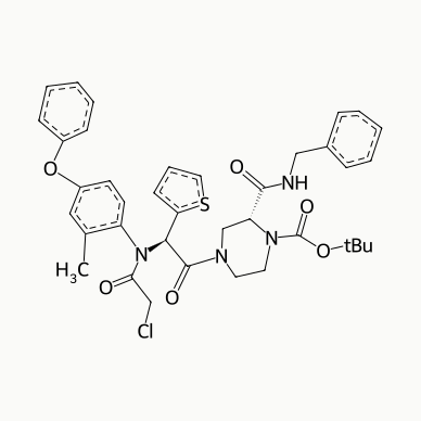 Cc1cc(Oc2ccccc2)ccc1N(C(=O)CCl)[C@H](C(=O)N1CCN(C(=O)OC(C)(C)C)[C@@H](C(=O)NCc2ccccc2)C1)c1cccs1